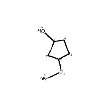 CCCOC1CCC(O)C1